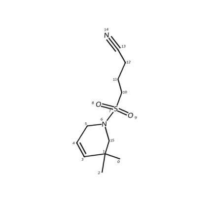 CC1(C)C=CCN(S(=O)(=O)CCCC#N)C1